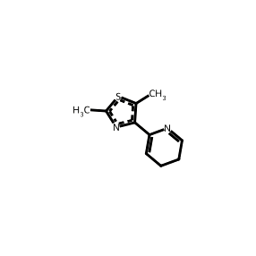 Cc1nc(C2=CCCC=N2)c(C)s1